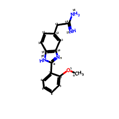 COc1ccccc1-c1nc2cc(CC(=N)N)ccc2[nH]1